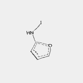 INc1ccco1